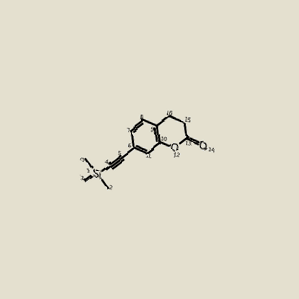 C[Si](C)(C)C#Cc1ccc2c(c1)OC(=O)CC2